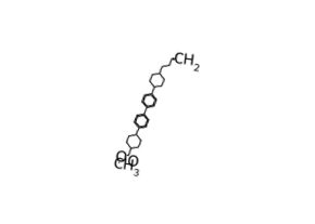 C=CCCC1CCC(c2ccc(-c3ccc(C4CCC(C(=O)OC)CC4)cc3)cc2)CC1